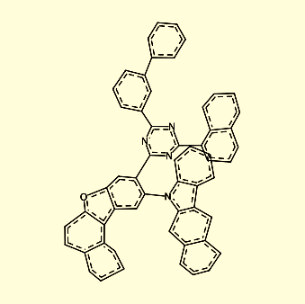 c1ccc(-c2cccc(-c3nc(-c4cc5oc6ccc7ccccc7c6c5cc4-n4c5ccccc5c5cc6ccccc6cc54)nc(-c4cccc5ccccc45)n3)c2)cc1